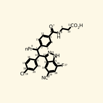 CCCC(c1ccc(C(=O)NCCC(=O)O)cc1)C(c1ccc(Cl)cc1)c1n[nH]c2c(F)cc(C#N)cc12